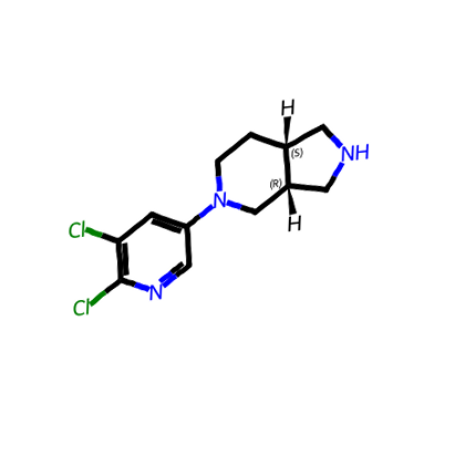 Clc1cc(N2CC[C@@H]3CNC[C@@H]3C2)cnc1Cl